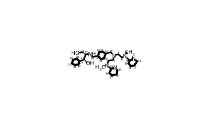 CN(CCN(CCN(C)c1ccccn1)Cc1ccc(CN[C@H](CO)[C@@H](O)c2ccccc2)cc1)c1ccccn1